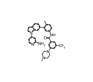 Cc1ccc(NC(=O)c2cc(N3CCN(C)CC3)cc(C(F)(F)F)c2)cc1-c1ccc2ccn(-c3ccnc(N)c3)c2c1